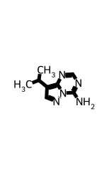 CC(C)c1cnn2c(N)ncnc12